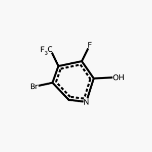 Oc1ncc(Br)c(C(F)(F)F)c1F